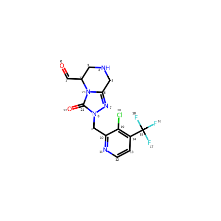 O=CC1CNCc2nn(Cc3nccc(C(F)(F)F)c3Cl)c(=O)n21